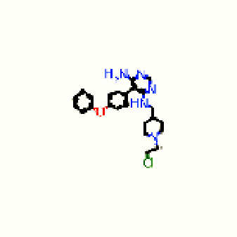 Nc1ncnc(NCC2CCN([CH]CCl)CC2)c1-c1ccc(Oc2ccccc2)cc1